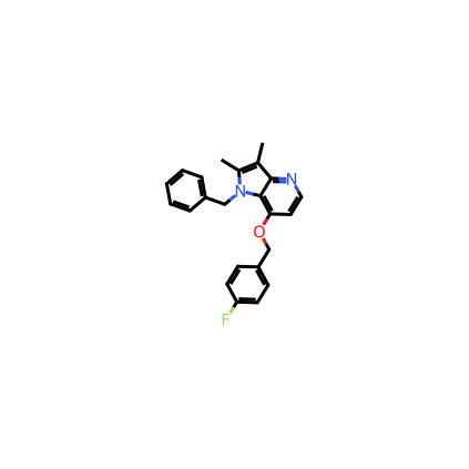 Cc1c(C)n(Cc2ccccc2)c2c(OCc3ccc(F)cc3)ccnc12